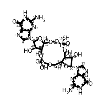 Nc1nc2c(ncn2[C@@H]2O[C@@H]3CO[P@](=O)(S)O[C@H]4[C@@H](O)[C@H](n5cnc6c(=O)[nH]c(N)nc65)O[C@@H]4COP(=O)(O)O[C@H]3[C@H]2O)c(=O)[nH]1